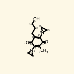 CC1=C(N2CC2)C(=O)C(CCCO)=C(N2CC2)C1=O